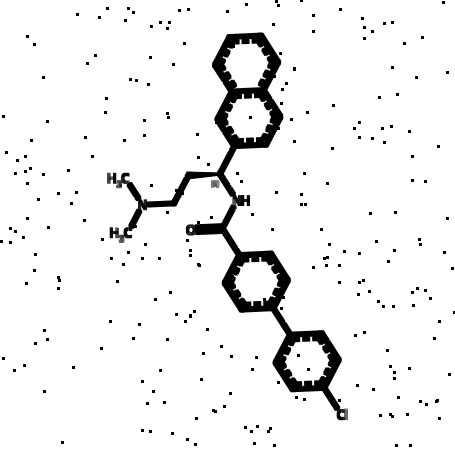 CN(C)CC[C@H](NC(=O)c1ccc(-c2ccc(Cl)cc2)cc1)c1ccc2ccccc2c1